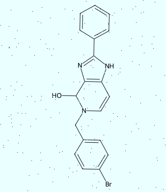 OC1c2nc(-c3ccccc3)[nH]c2C=CN1Cc1ccc(Br)cc1